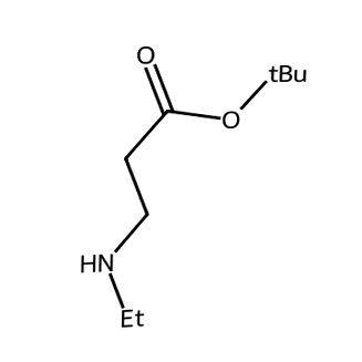 CCNCCC(=O)OC(C)(C)C